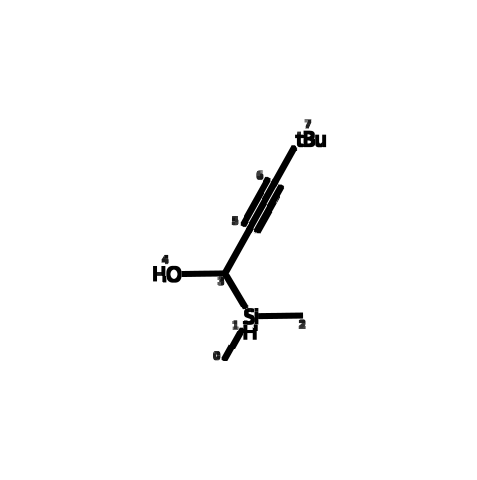 C[SiH](C)C(O)C#CC(C)(C)C